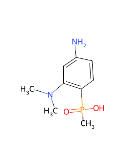 CN(C)c1cc(N)ccc1P(C)(=O)O